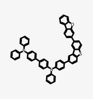 c1ccc(N(c2ccccc2)c2ccc(-c3ccc(N(c4ccccc4)c4ccc(-c5ccc6sc7ccc(-c8ccc9c(c8)oc8ccccc89)cc7c6c5)cc4)cc3)cc2)cc1